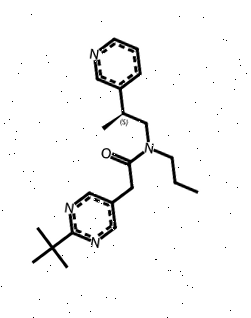 CCCN(C[C@@H](C)c1cccnc1)C(=O)Cc1cnc(C(C)(C)C)nc1